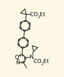 CCOC(=O)N(c1c(C)noc1-c1ccc(-c2ccc(C3(C(=O)OCC)CC3)cc2)cc1)C1CC1